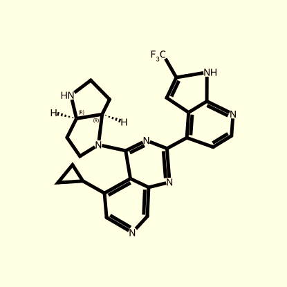 FC(F)(F)c1cc2c(-c3nc(N4CC[C@H]5NCC[C@H]54)c4c(C5CC5)cncc4n3)ccnc2[nH]1